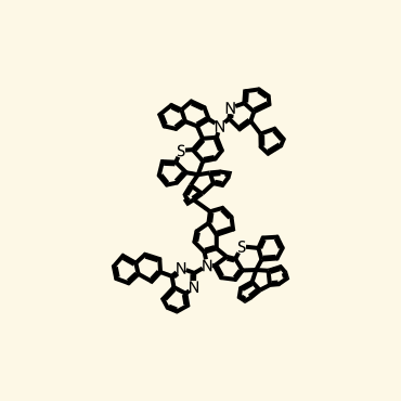 c1ccc(-c2cc(-n3c4ccc5c(c4c4c6ccccc6ccc43)Sc3ccccc3C53c4ccccc4-c4c(-c5cccc6c5ccc5c6c6c7c(ccc6n5-c5nc(-c6ccc8ccccc8c6)c6ccccc6n5)C5(c6ccccc6S7)c6ccccc6-c6ccccc65)cccc43)nc3ccccc23)cc1